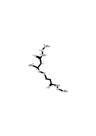 CCCCONC(=O)CCSSC(CCC)CC(=O)NOCCCC